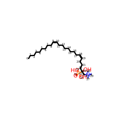 CCCCCCCCC/C=C\CCCCCCC/C=C\CCCC(O)(C[N+](C)(C)C)P(=O)(O)O